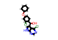 OC(c1ccc(Oc2ccccc2)cc1Cl)c1c[nH]c2ncnc(Cl)c12